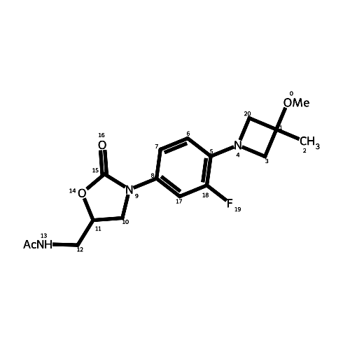 COC1(C)CN(c2ccc(N3CC(CNC(C)=O)OC3=O)cc2F)C1